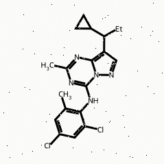 CCC(c1cnn2c(Nc3c(C)cc(Cl)cc3Cl)nc(C)nc12)C1CC1